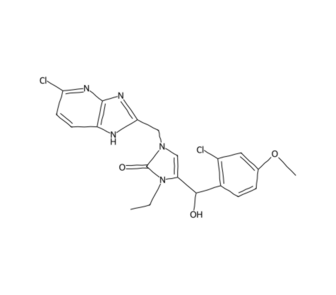 CCn1c(C(O)c2ccc(OC)cc2Cl)cn(Cc2nc3nc(Cl)ccc3[nH]2)c1=O